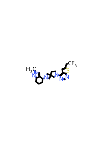 Cn1cc2c(n1)CCCC2N1CC2(CCN(c3ncnc4sc(CC(F)(F)F)cc34)C2)C1